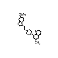 COc1ccc2c(CCN3CCN(c4cc(C)cc5cccnc45)CC3)coc2c1